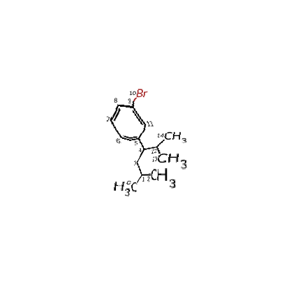 CC(C)CC(c1cccc(Br)c1)C(C)C